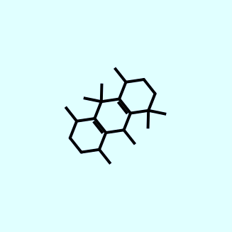 CC1CCC(C)C2=C1C(C)C1=C(C(C)CCC1(C)C)C2(C)C